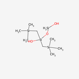 C[Si](C)(C)C[Si](O)(C[Si](C)(C)C)O[SiH2]O